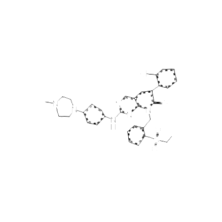 CCS(=O)(=O)c1ccccc1Cn1c(=O)c(-c2ccccc2Cl)cc2cnc(Nc3ccc(N4CCN(C)CC4)cc3)nc21